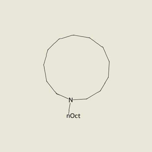 CCCCCCCCN1CCCCCCCCCCCC1